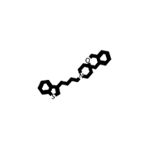 c1ccc2c(c1)COC1(CCN(CCCCc3csc4ccccc34)CC1)C2